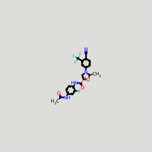 CC(=O)Nc1ccc(NC(=O)[C@@H]2CN(c3ccc(C#N)c(C(F)(F)F)c3)[C@@H](C)O2)c(F)c1